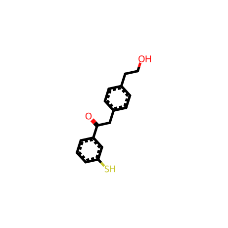 O=C(Cc1ccc(CCO)cc1)c1cccc(S)c1